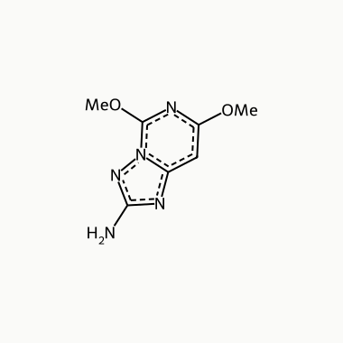 COc1cc2nc(N)nn2c(OC)n1